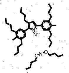 CCCCC1=C(c2cc(CCCC)c(C)c(CCCC)c2)[N+](=[N-])C(c2cc(CCCC)c(C)c(CCCC)c2)=C1.CCCC[O][Ni][O]CCCC